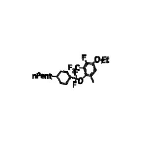 CCCCCC1CCC(C(F)(F)Oc2c(C)cc(OCC)c(F)c2C(F)(F)F)CC1